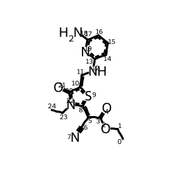 CCOC(=O)C(C#N)=c1sc(=CNc2cccc(N)n2)c(=O)n1CC